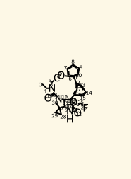 CCN1CCOc2ccccc2-c2cccc(c2)C[C@H]2[C@@H](NS(=O)(=O)CF)C3(CC3)CN2C1=O